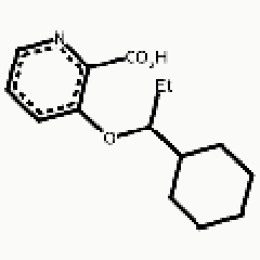 CCC(Oc1cccnc1C(=O)O)C1CCCCC1